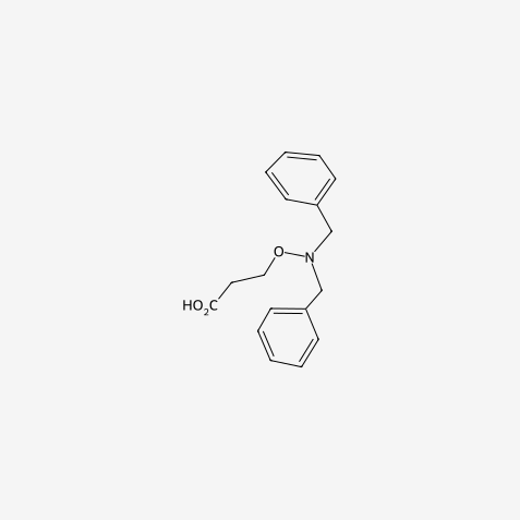 O=C(O)CCON(Cc1ccccc1)Cc1ccccc1